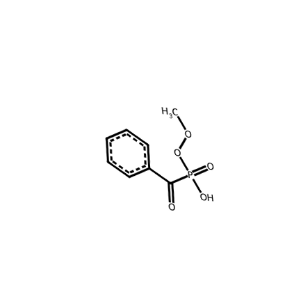 COOP(=O)(O)C(=O)c1ccccc1